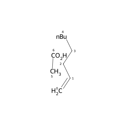 C=CCCCCCC.CC(=O)O